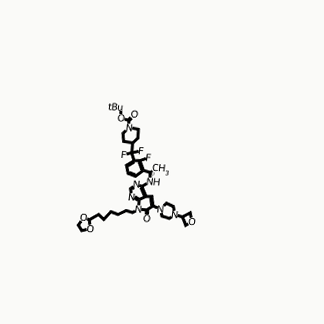 C[C@@H](Nc1ncnc2c1cc(N1CCN(C3COC3)CC1)c(=O)n2CCCCCCC1OCCO1)c1cccc(C(F)(F)C2CCN(C(=O)OC(C)(C)C)CC2)c1F